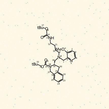 COc1cccnc1CN(CCCCNC(=O)OC(C)(C)C)C[C@H]1Cc2ccccc2CN1C(=O)OC(C)(C)C